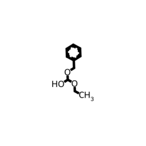 CCOC(O)OCc1ccccc1